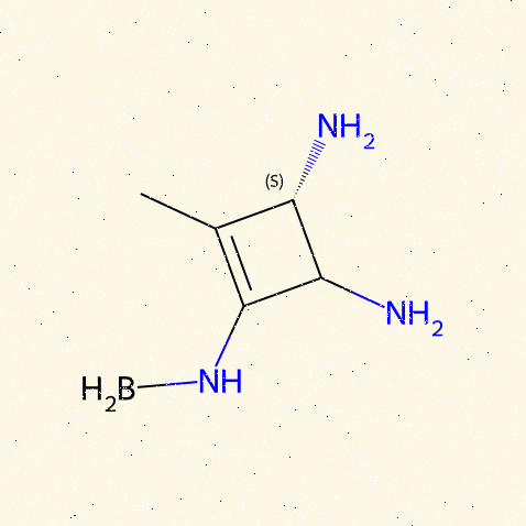 BNC1=C(C)[C@H](N)C1N